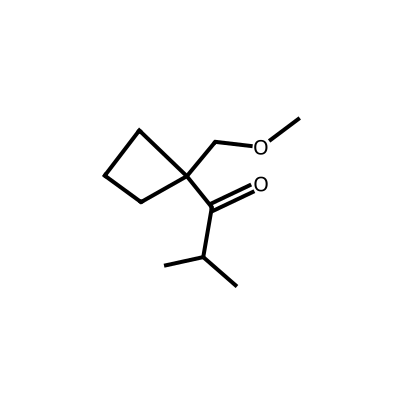 COCC1(C(=O)C(C)C)CCC1